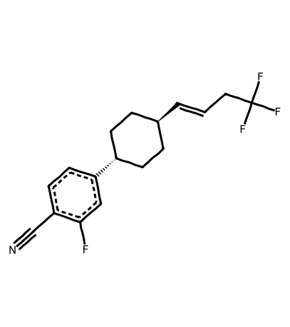 N#Cc1ccc([C@H]2CC[C@H](C=CCC(F)(F)F)CC2)cc1F